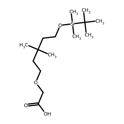 CC(C)(CCOCC(=O)O)CCO[Si](C)(C)C(C)(C)C